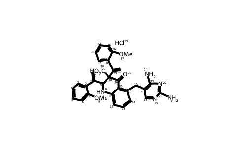 C=C(c1ccccc1OC)C1Nc2cccc(Cc3cnc(N)nc3N)c2C(=O)C1(C(=C)c1ccccc1OC)C(=O)O.Cl